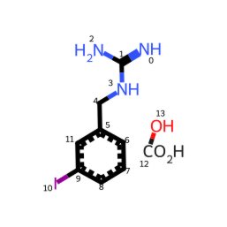 N=C(N)NCc1cccc(I)c1.O=C(O)O